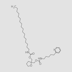 CCCCCCCCCCCCCCCCCCNC(=O)OCC1(COC(=O)NCCCCCc2ccccn2)CCCO1